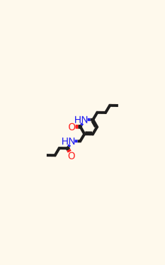 CCCCc1ccc(CNC(=O)CCC)c(=O)[nH]1